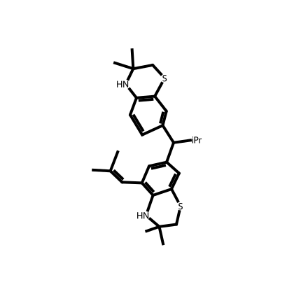 CC(C)=Cc1cc(C(c2ccc3c(c2)SCC(C)(C)N3)C(C)C)cc2c1NC(C)(C)CS2